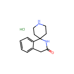 Cl.O=C1Cc2ccccc2C2(CCNCC2)N1